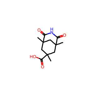 CC1(C(=O)O)CC2(C)CC(C)(C1)C(=O)NC2=O